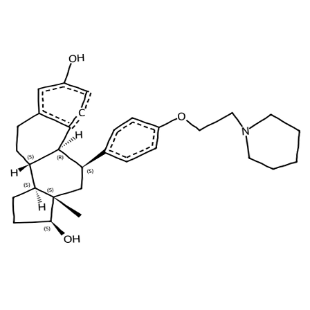 C[C@]12C[C@H](c3ccc(OCCN4CCCCC4)cc3)[C@@H]3c4ccc(O)cc4CC[C@H]3[C@@H]1CC[C@@H]2O